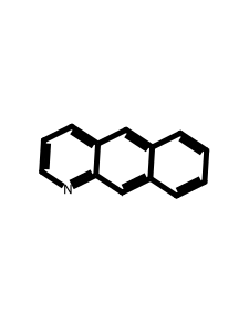 [c]1c2ccccc2cc2cccnc12